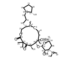 CO[C@]1(C)C[C@@H](C)CN(C)[C@@H](CCCN2CCC[C@@H]2C)COC(=O)C(C)(C)C(=O)[C@H](C)[C@H]1O[C@@H]1O[C@H](C)C[C@H](N(C)C)[C@H]1O